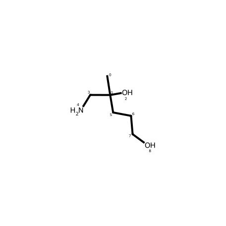 CC(O)(CN)CCCO